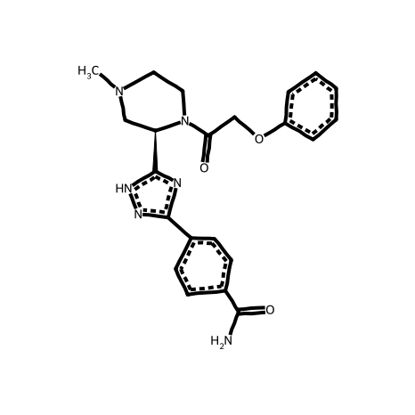 CN1CCN(C(=O)COc2ccccc2)[C@@H](c2nc(-c3ccc(C(N)=O)cc3)n[nH]2)C1